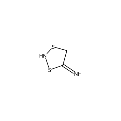 N=C1CSNS1